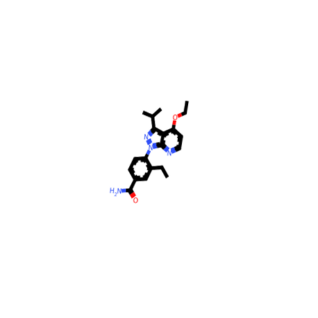 CCOc1ccnc2c1c(C(C)C)nn2-c1ccc(C(N)=O)cc1CC